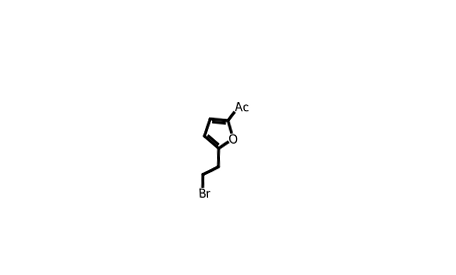 CC(=O)c1ccc(CCBr)o1